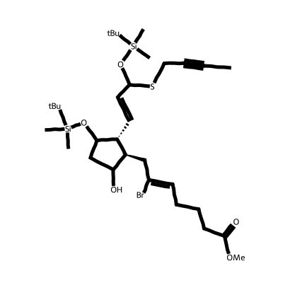 CC#CCSC(/C=C/[C@H]1C(O[Si](C)(C)C(C)(C)C)CC(O)[C@@H]1C/C(Br)=C/CCCC(=O)OC)O[Si](C)(C)C(C)(C)C